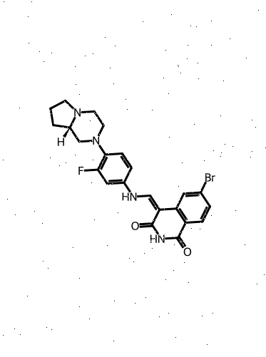 O=C1NC(=O)c2ccc(Br)cc2/C1=C/Nc1ccc(N2CCN3CCC[C@H]3C2)c(F)c1